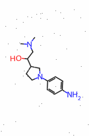 CN(C)CC(O)C1CCN(c2ccc(N)cc2)C1